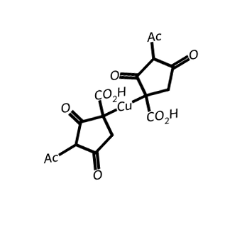 CC(=O)C1C(=O)C[C]([Cu][C]2(C(=O)O)CC(=O)C(C(C)=O)C2=O)(C(=O)O)C1=O